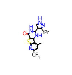 Cc1cc(C(F)(F)F)nc2sc3c(c12)NC(c1c[nH]nc1C(C)C)NC3=O